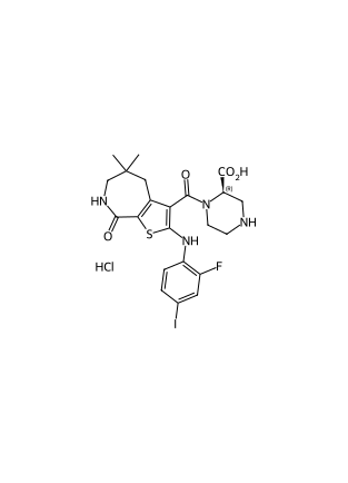 CC1(C)CNC(=O)c2sc(Nc3ccc(I)cc3F)c(C(=O)N3CCNC[C@@H]3C(=O)O)c2C1.Cl